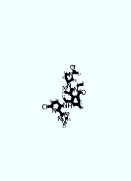 CCn1c(=O)c2cc(C)cc(C(C)Nc3ccc(Cl)nc3-c3ncn(C)n3)c2c2cnn(C3CCN(C(C)=O)C3)c21